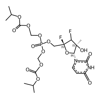 CC(C)OC(=O)OCOP(=O)(OCOC(=O)OC(C)C)OC[C@@]1(F)O[C@@H](n2ccc(=O)[nH]c2=O)[C@](C)(O)C1F